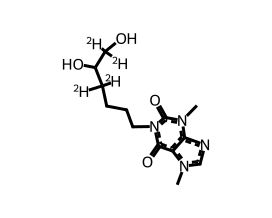 [2H]C([2H])(O)C(O)C([2H])([2H])CCCn1c(=O)c2c(ncn2C)n(C)c1=O